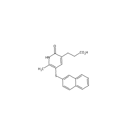 Cc1[nH]c(=O)c(CCC(=O)O)cc1Sc1ccc2ccccc2c1